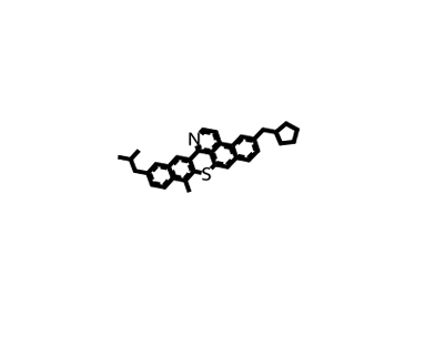 Cc1c2c(cc3cc(CC(C)C)ccc13)-c1nccc3c1c(cc1ccc(CC4CCCC4)cc13)S2